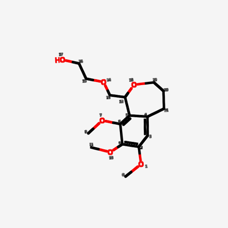 COc1cc2c(c(OC)c1OC)C(COCCO)OCCC2